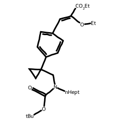 CCCCCCCN(CC1(c2ccc(/C=C(\OCC)C(=O)OCC)cc2)CC1)C(=O)OC(C)(C)C